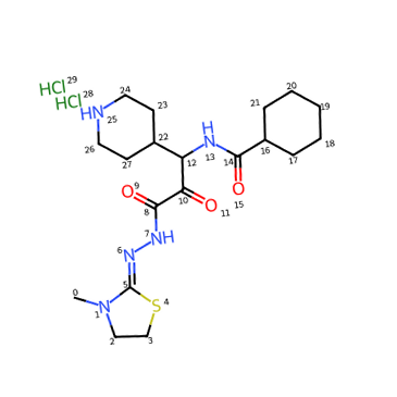 CN1CCSC1=NNC(=O)C(=O)C(NC(=O)C1CCCCC1)C1CCNCC1.Cl.Cl